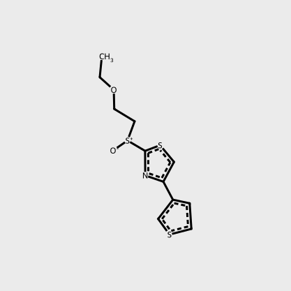 CCOCC[S+]([O-])c1nc(-c2ccsc2)cs1